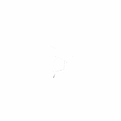 OC[C@H]1O[C@H](Cl)[C@@H](O)[C@H]1O